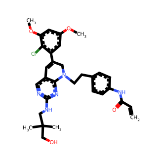 C=CC(=O)Nc1ccc(CCN2CC(c3cc(OC)cc(OC)c3Cl)=Cc3cnc(NCC(C)(C)CO)nc32)cc1